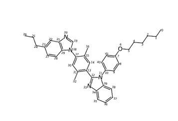 CCCCCCOc1ccc(-n2c(-c3cc(C)c(-n4cnc5cc(CCC)ccc54)cc3C)nc3ccccc32)cc1